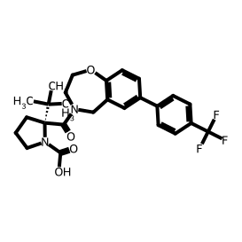 CC(C)(C)[C@@]1(C(=O)N2CCOc3ccc(-c4ccc(C(F)(F)F)cc4)cc3C2)CCCN1C(=O)O